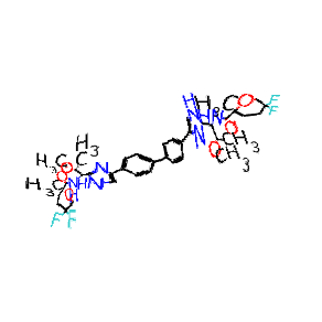 CO[C@H](C)[C@H](NC(=O)[C@@]1(C)CCC(F)(F)CO1)c1nc(-c2ccc(-c3ccc(-c4c[nH]c([C@@H](NC(=O)[C@@]5(C)CCC(F)(F)CO5)[C@@H](C)OC)n4)cc3)cc2)c[nH]1